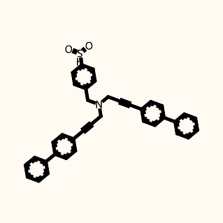 O=[SH](=O)c1ccc(CN(CC#Cc2ccc(-c3ccccc3)cc2)CC#Cc2ccc(-c3ccccc3)cc2)cc1